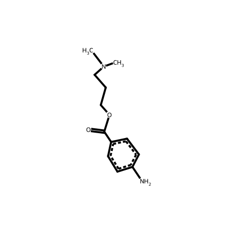 CN(C)CCCOC(=O)c1ccc(N)cc1